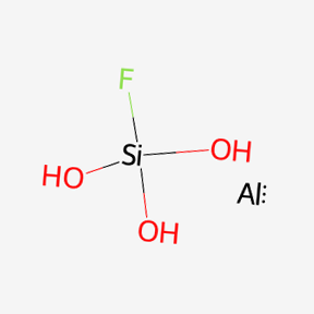 O[Si](O)(O)F.[Al]